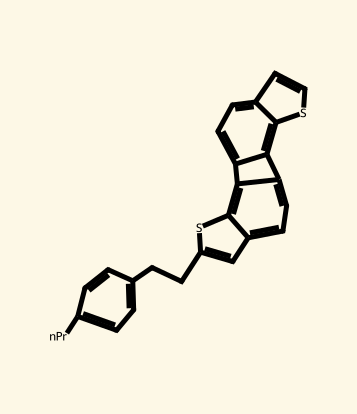 CCCc1ccc(CCc2cc3ccc4c(c3s2)-c2ccc3ccsc3c2-4)cc1